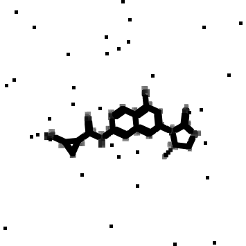 C[C@H]1COC(=O)N1c1cc(Cl)c2cnc(NC(=O)C3CC3C#N)cc2c1